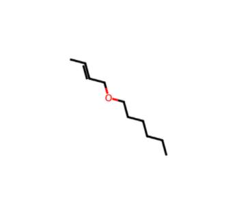 CC=CCOCCCCCC